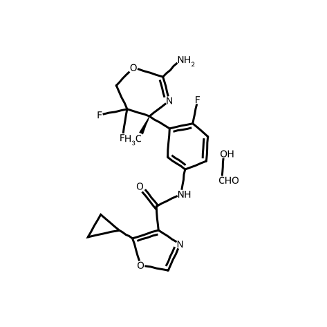 C[C@]1(c2cc(NC(=O)c3ncoc3C3CC3)ccc2F)N=C(N)OCC1(F)F.O=CO